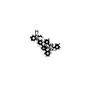 CCC1Nc2ccccc2N1c1ccc(-c2ccc(-c3ccccc3C3N=C(c4ccccc4)N=C(c4ccccc4)N3)cc2)cc1